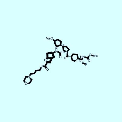 COC1CCC([C@@H]2CCN(C(=O)[C@H]3CC[C@H]([C@@H](CF)NC(=O)OC(C)(C)C)CC3)[C@@H]2C(=O)Nc2ccc3oc(C(=O)OCCCCN4CCOCC4)cc3c2)CC1